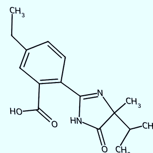 CCc1ccc(C2=NC(C)(C(C)C)C(=O)N2)c(C(=O)O)c1